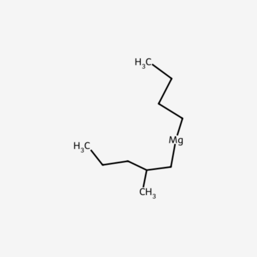 CCC[CH2][Mg][CH2]C(C)CCC